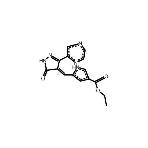 CCOC(=O)c1c[nH]c(/C=C2/C(=O)NN=C2c2cnccn2)c1